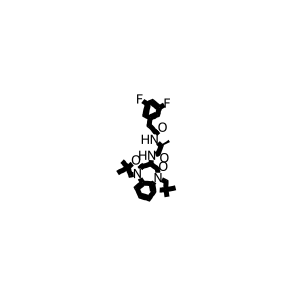 C[C@H](NC(=O)Cc1cc(F)cc(F)c1)C(=O)NC1C(=O)N(CC(C)(C)C)c2ccccc2N(CC(C)(C)C)C1=O